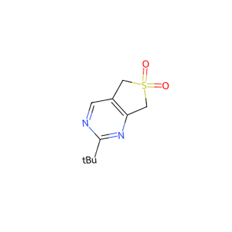 CC(C)(C)c1ncc2c(n1)CS(=O)(=O)C2